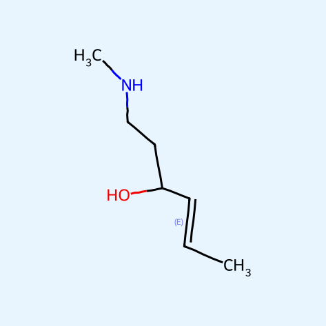 C/C=C/C(O)CCNC